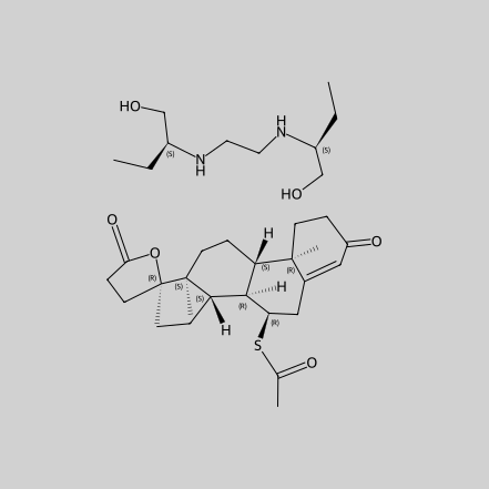 CC(=O)S[C@@H]1CC2=CC(=O)CC[C@]2(C)[C@H]2CC[C@@]3(C)[C@@H](CC[C@@]34CCC(=O)O4)[C@H]12.CC[C@@H](CO)NCCN[C@@H](CC)CO